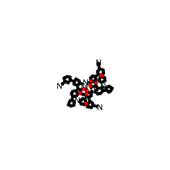 N#Cc1cccc(-c2ccc(-c3nc(-c4ccc(-c5cccc(C#N)c5)cc4C4c5ccccc5-c5c4ccc4c6ccccc6n(-c6ccccc6)c54)nc(-c4ccc(-c5cccc(C#N)c5)cc4-n4c5ccccc5c5c4ccc4c6ccccc6n(-c6ccccc6)c45)n3)cc2)c1